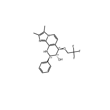 Cc1nc2c3c(ccn2c1C)[C@@H](OCC(F)(F)F)[C@H](O)[C@@H](c1ccccc1)N3